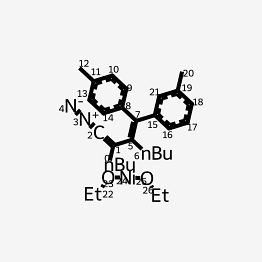 CCCCC(=C=[N+]=[N-])C(CCCC)=C(c1ccc(C)cc1)c1cccc(C)c1.CC[O][Ni][O]CC